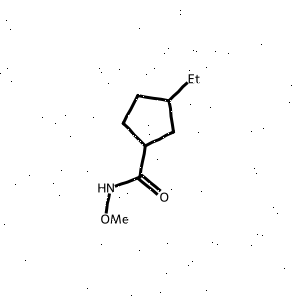 CCC1CCC(C(=O)NOC)C1